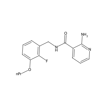 CCCOc1cccc(CNC(=O)c2cccnc2N)c1F